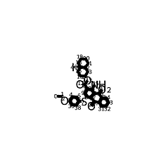 CCOc1ccc(Sc2cc(C(=O)O[C@@H]3CC[C@@H]4CCCCC4C3)c(N)c3c2C(=O)c2ccccc2C3=O)cc1